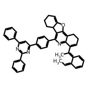 C/C=c1/cccc/c1=C(/C)C1=CCCc2c1nc(-c1ccc(-c3cc(-c4ccccc4)nc(-c4ccccc4)n3)cc1)c1c2OC2=CCCCC21